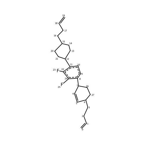 C=CCCC1C=CC(c2ccc(C3CCC(CCC=C)CC3)c(F)c2F)CC1